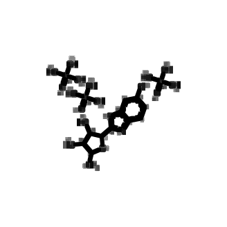 CC1OC(c2nc3ccc(Cl)cc3s2)C(O)C1O.O=P(O)(O)O.O=P(O)(O)O.O=P(O)(O)O